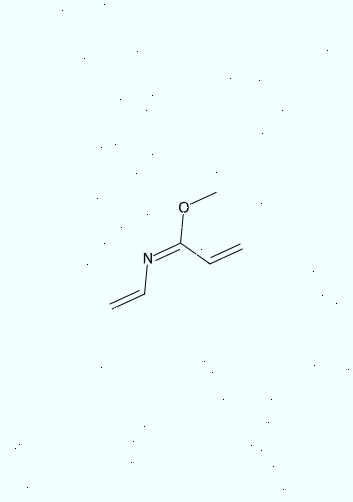 C=C/N=C(\C=C)OC